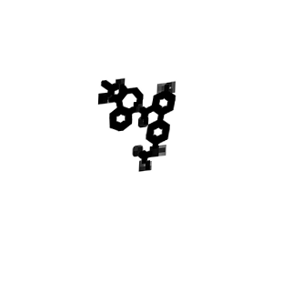 CCC(=O)Nc1ccc(-c2ccccc2C(=O)N2CCc3nc(C)[nH]c3-c3ccccc32)cc1.Cl